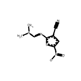 CN(C)C=Nc1sc([N+](=O)[O-])cc1C#N